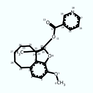 COc1ccc2c3c1OC1C(OC(=O)c4cccnc4)=CCC(C)C31CCCCC2